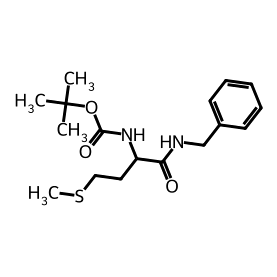 CSCCC(NC(=O)OC(C)(C)C)C(=O)NCc1ccccc1